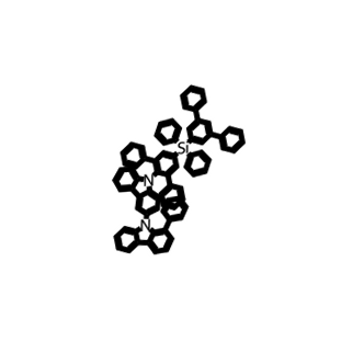 c1ccc(-c2cc(-c3ccccc3)cc([Si](c3ccccc3)(c3ccccc3)c3cc(-c4ccccc4)c(-n4c5ccccc5c5cc(-n6c7ccccc7c7cccc(-c8ccccc8)c76)ccc54)c(-c4ccccc4)c3)c2)cc1